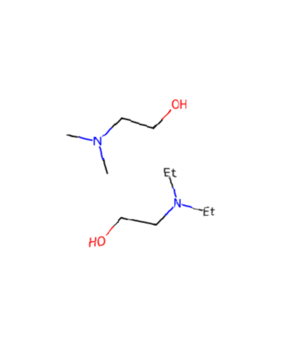 CCN(CC)CCO.CN(C)CCO